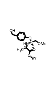 COCP(=O)(N[C@H](C)C(=O)OC(C)C)Oc1ccc(CO)cc1